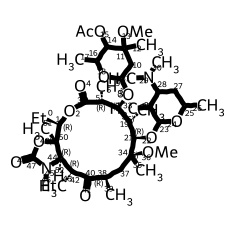 CC[C@H]1OC(=O)[C@H](C)[C@@H](OC2CC(C)(OC)C(OC(C)=O)C(C)O2)[C@H](C)[C@@H](OC2OC(C)CC(N(C)C)C2C)[C@@](C)(OC)C[C@@H](C)C(=O)[C@H](C)[C@H]2N(CC)C(=O)O[C@]12C